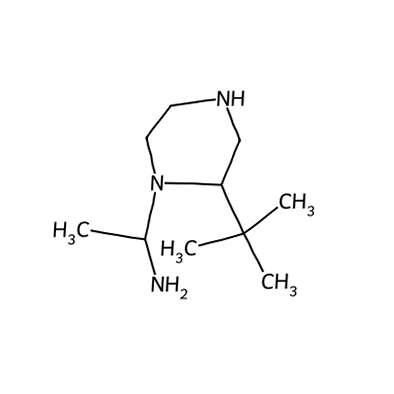 CC(N)N1CCNCC1C(C)(C)C